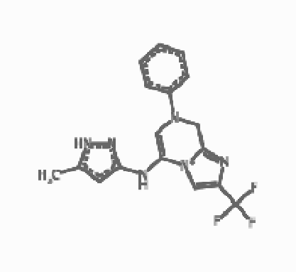 Cc1cc(NC2=CN(c3ccccc3)CC3=NC(C(F)(F)F)=C[N+]23)n[nH]1